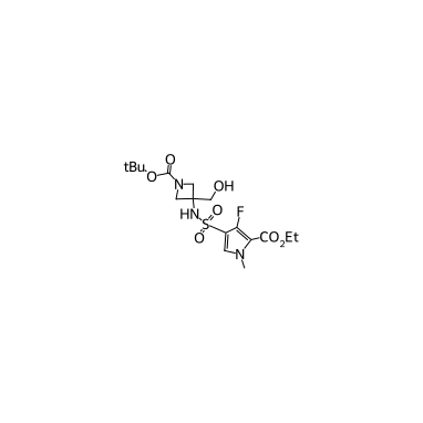 CCOC(=O)c1c(F)c(S(=O)(=O)NC2(CO)CN(C(=O)OC(C)(C)C)C2)cn1C